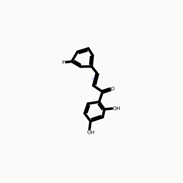 O=C(/C=C/c1cccc(F)c1)c1ccc(O)cc1O